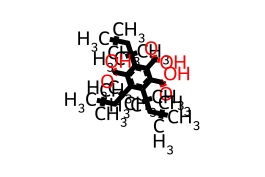 CC(C)(C)CC(C)(C)c1c(C(=O)O)c(C(=O)O)c(C(C)(C)CC(C)(C)C)c(C(C)(C)CC(C)(C)C)c1C(=O)O